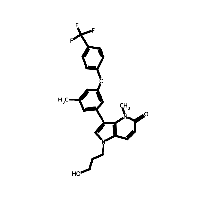 Cc1cc(Oc2ccc(C(F)(F)F)cc2)cc(-c2cn(CCCO)c3ccc(=O)n(C)c23)c1